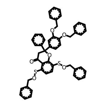 O=C1CC(c2ccccc2)(c2ccc(OCc3ccccc3)c(OCc3ccccc3)c2)Oc2c(SOCc3ccccc3)ccc(SOCc3ccccc3)c21